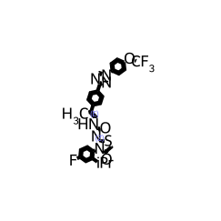 C/C(=C\NC(=O)/N=C1\SCC(=O)N1c1ccc(F)cc1C(C)C)c1ccc(-c2ncn(-c3ccc(OC(F)(F)F)cc3)n2)cc1